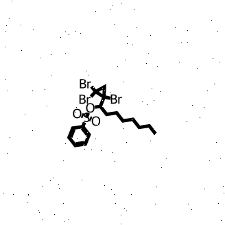 CCCCCCCC(OS(=O)(=O)c1ccccc1)C1(Br)CC1(Br)Br